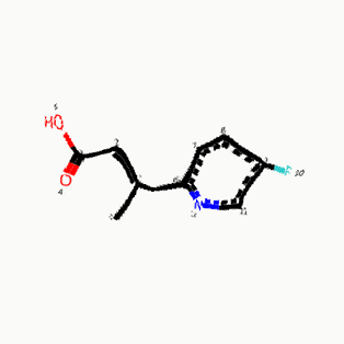 C/C(=C\C(=O)O)c1ccc(F)cn1